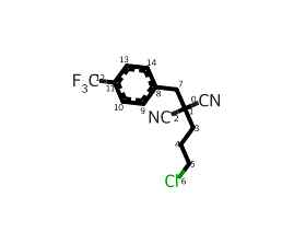 N#CC(C#N)(CCCCl)Cc1ccc(C(F)(F)F)cc1